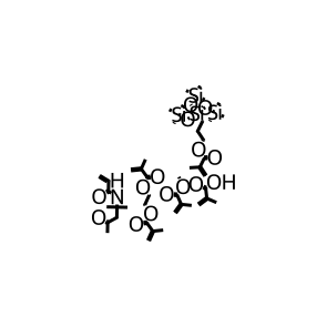 C=C(C)C(=O)O.C=C(C)C(=O)OC.C=C(C)C(=O)OCCC[Si](O[Si](C)(C)C)(O[Si](C)(C)C)O[Si](C)(C)C.C=C(C)C(=O)OCCOC(=O)C(=C)C.C=CC(=O)NC(C)(C)CC(C)=O